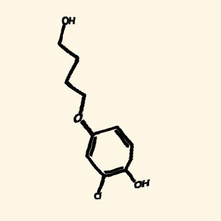 OCCCCOc1ccc(O)c(Cl)c1